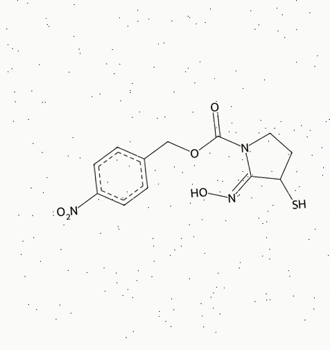 O=C(OCc1ccc([N+](=O)[O-])cc1)N1CCC(S)/C1=N/O